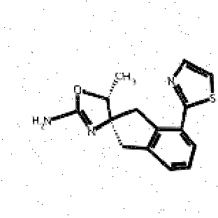 C[C@H]1OC(N)=N[C@@]12Cc1cccc(-c3nccs3)c1C2